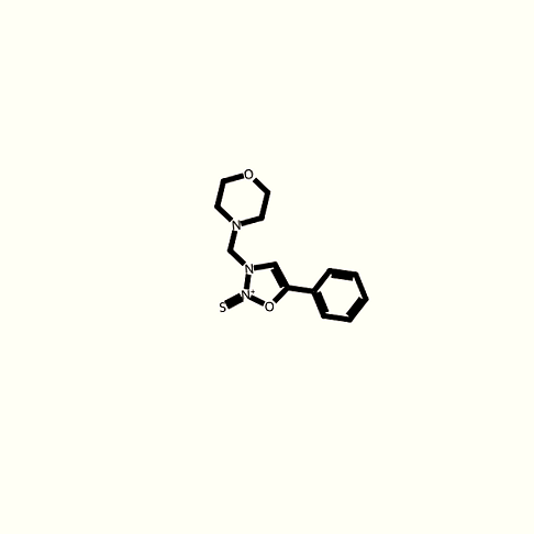 S=[n+]1oc(-c2ccccc2)cn1CN1CCOCC1